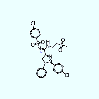 CS(=O)(=O)CCN/C(=N\S(=O)(=O)c1ccc(Cl)cc1)C1=NN(c2ccc(Cl)cc2)C(c2ccccc2)C1